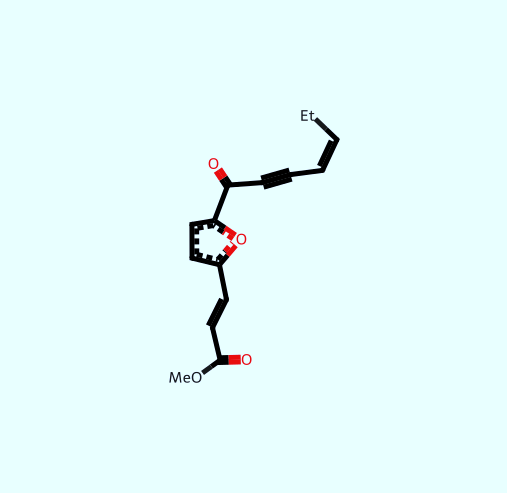 CC/C=C\C#CC(=O)c1ccc(/C=C/C(=O)OC)o1